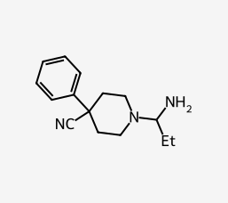 CCC(N)N1CCC(C#N)(c2ccccc2)CC1